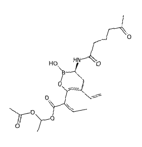 C=CC1=C(/C(=C\C)C(=O)OC(C)OC(C)=O)OB(O)[C@@H](NC(=O)CCCC(C)=O)C1